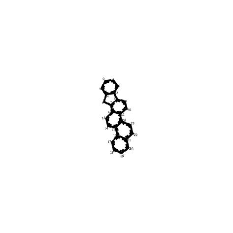 c1ccc2c(c1)Cc1c-2ccc2c1ccc1c3ccccc3ccc21